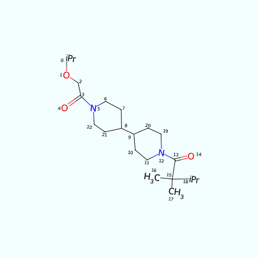 CC(C)OCC(=O)N1CCC(C2CCN(C(=O)C(C)(C)C(C)C)CC2)CC1